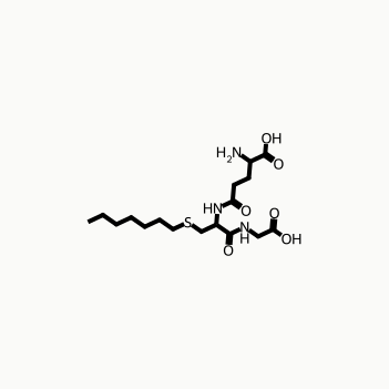 CCCCCCCSCC(NC(=O)CCC(N)C(=O)O)C(=O)NCC(=O)O